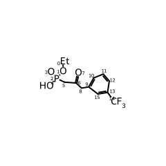 CCOP(=O)(O)CC(=O)Cc1cccc(C(F)(F)F)c1